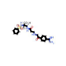 CC[C@@](CNC(=O)CCNCC(=O)c1ccc(C(=N)N)cc1)(NS(=O)(=O)c1ccccc1)C(=O)O